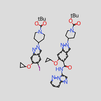 CC(C)(C)OC(=O)N1CCC(n2cc3cc(C(=O)Nc4cnc5cccnn45)c(OC4CC4)cc3n2)CC1.CC(C)(C)OC(=O)N1CCC(n2cc3cc(I)c(OC4CC4)cc3n2)CC1